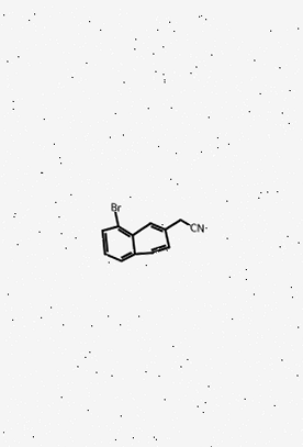 N#CCc1ccc2cccc(Br)c2c1